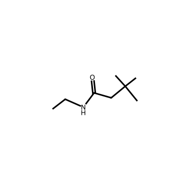 CCNC(=O)CC(C)(C)C